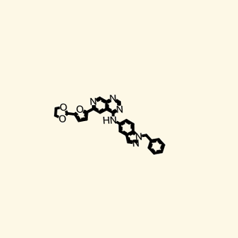 c1ccc(Cn2ncc3cc(Nc4ncnc5cnc(-c6ccc(C7OCCO7)o6)cc45)ccc32)cc1